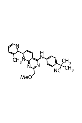 COCc1nc(Nc2ccc(C(C)(C)C#N)cc2)c2ccc(-c3ncccc3C)nc2n1